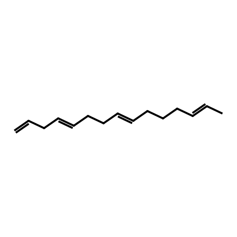 C=CCC=CCCC=CCCCC=CC